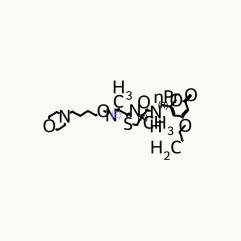 C=CCOc1cc([C@@H](CCC)NC(=O)[C@]2(C)CSC(/C(C)=N/OCCCCN3CCOCC3)=N2)oc(=O)c1